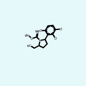 COc1ccc(Cl)c(Cl)c1C1CCC(CC#N)N1C(=O)OC(C)(C)C